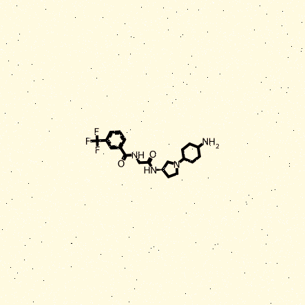 NC1CCC(N2CC[C@@H](NC(=O)CNC(=O)c3cccc(C(F)(F)F)c3)C2)CC1